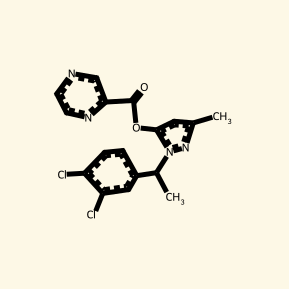 Cc1cc(OC(=O)c2cnccn2)n(C(C)c2ccc(Cl)c(Cl)c2)n1